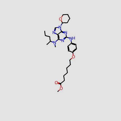 CCCC(C)N(C)c1nc(Nc2ccc(OCCCCCCC(=O)OC)cc2)nc2c1ncn2C1CCCCO1